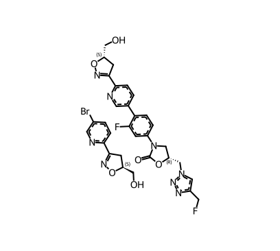 O=C1O[C@@H](Cn2cc(CF)nn2)CN1c1ccc(-c2ccc(C3=NO[C@H](CO)C3)nc2)c(F)c1.OC[C@@H]1CC(c2ccc(Br)cn2)=NO1